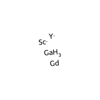 [GaH3].[Gd].[Sc].[Y]